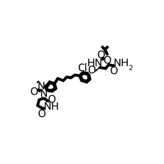 Cn1c(=O)n(C2CCC(=O)NC2=O)c2ccc(CCCCCc3cccc(OC[C@H](CCC(N)=O)NC(=O)OC(C)(C)C)c3Cl)cc21